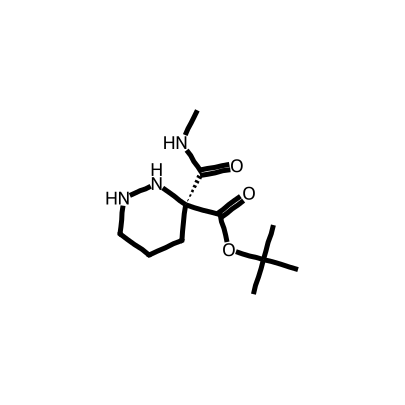 CNC(=O)[C@]1(C(=O)OC(C)(C)C)CCCNN1